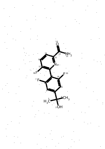 CC(C)(O)c1cc(F)c(-c2nc(C(N)=O)ccc2F)c(F)c1